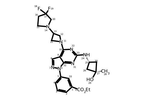 CCOC(=O)c1cccc(-n2ncc3c(N4CC(N5CCC(F)(F)C5)C4)nc(N[C@H]4C[C@](C)(O)C4)nc32)c1